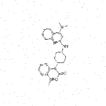 COc1ccccc1N(C(=O)O)C1CCC(Nc2cc(N(C)C)c3ccccc3n2)CC1